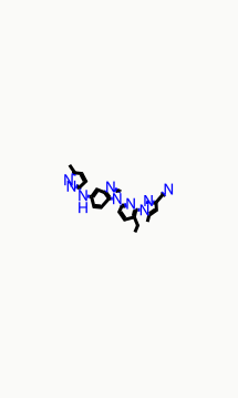 CCc1ccc(-n2cnc3cc(Nc4ccc(C)nn4)ccc32)nc1-n1nc(C#N)cc1C